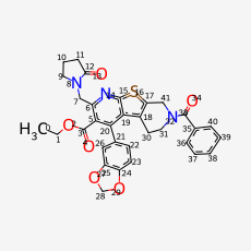 CCOC(=O)c1c(CN2CCCC2=O)nc2sc3c(c2c1-c1ccc2c(c1)OCO2)CCN(C(=O)c1ccccc1)C3